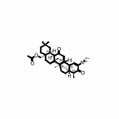 [C-]#[N+]C1=C[C@]2(C)[C@H]3CC(=O)[C@@H]4[C@@H]5CC(C)(C)CC[C@]5(COC(C)=O)CC[C@@]4(C)[C@]3(C)CC[C@H]2[C@H](C)C1=O